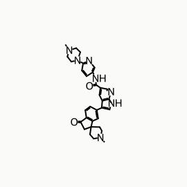 CN1CCN(c2ccc(NC(=O)c3cnc4[nH]cc(-c5ccc6c(c5)C5(CCN(C)CC5)CC6=O)c4c3)cn2)CC1